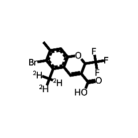 [2H]C([2H])([2H])c1c(Br)c(C)cc2c1C=C(C(=O)O)C(C(F)(F)F)O2